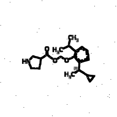 CC(C)c1cccc([C@H](C)C2CC2)c1OCOC(=O)C1CCNC1